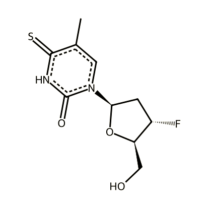 Cc1cn([C@H]2C[C@H](F)[C@@H](CO)O2)c(=O)[nH]c1=S